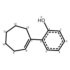 Oc1ccccc1C1=CCCCCC1